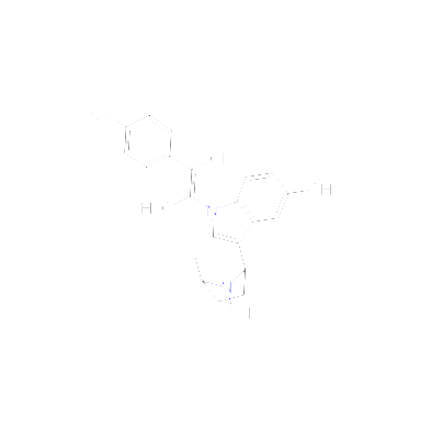 C/C(=C(/C)n1c2c(c3cc(C)ccc31)C1CCC(C2)N1C)c1ccc(Cl)cc1